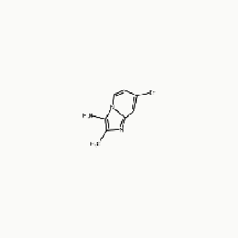 Cc1nc2cc(Br)ccn2c1N